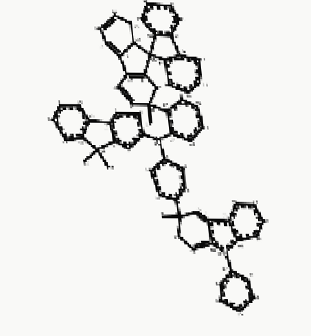 CC1(c2ccc(N(c3ccc4c(c3)C(C)(C)c3ccccc3-4)c3ccccc3C3(C)C=CC4=C(C3)C3(c5ccccc5-c5ccccc53)C3CC=CC=C43)cc2)C=c2c(n(-c3ccccc3)c3ccccc23)=CC1